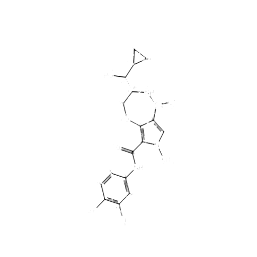 Cn1cc2c(c1C(=O)Nc1ccc(F)c(Cl)c1)OC[C@H](C(O)C1CC1)N[S+]2[O-]